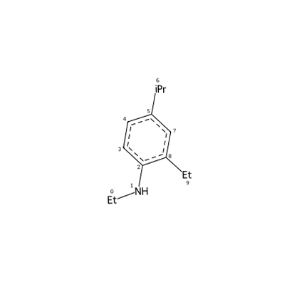 CCNc1ccc(C(C)C)cc1CC